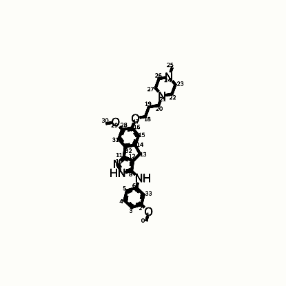 COc1cccc(Nc2[nH]nc3c2Cc2cc(OCCCN4CCN(C)CC4)c(OC)cc2-3)c1